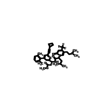 COC(=O)C[C@H](NC(=O)C(CC(C)C)n1cc(CCN(C)C)c(C(F)(F)F)cc1=O)c1cc(-c2c(C)cccc2C)cc(C#CC2CCC2)n1